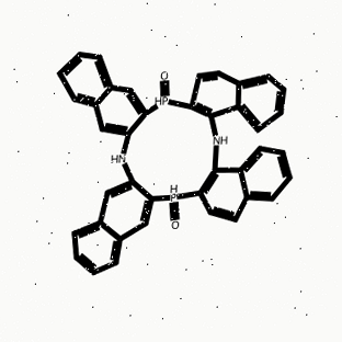 O=[PH]1c2cc3ccccc3cc2Nc2cc3ccccc3cc2[PH](=O)c2ccc3ccccc3c2Nc2c1ccc1ccccc21